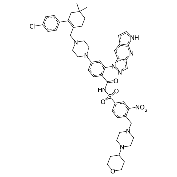 CC1(C)CCC(CN2CCN(c3ccc(C(=O)NS(=O)(=O)c4ccc(CN5CCN(C6CCOCC6)CC5)c([N+](=O)[O-])c4)c(-n4ncc5nc6[nH]ccc6cc54)c3)CC2)=C(c2ccc(Cl)cc2)C1